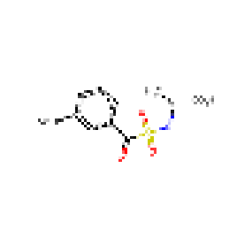 COc1cccc(C(=O)S(=O)(=O)N[C@H](C)C(=O)O)c1